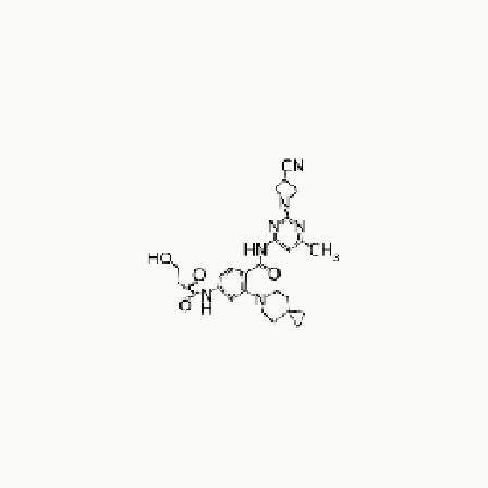 Cc1cc(NC(=O)c2ccc(NS(=O)(=O)CCO)cc2N2CCC3(CC2)CC3)nc(N2CC(C#N)C2)n1